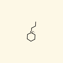 CCC[N+]1CCCCC1